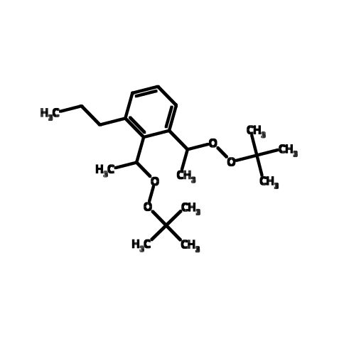 CCCc1cccc(C(C)OOC(C)(C)C)c1C(C)OOC(C)(C)C